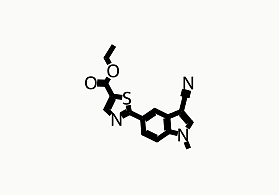 CCOC(=O)c1cnc(-c2ccc3c(c2)c(C#N)cn3C)s1